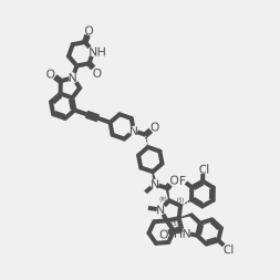 CN1[C@@H](C(=O)N(C)[C@H]2CC[C@H](C(=O)N3CCC(C#Cc4cccc5c4CN(C4CCC(=O)NC4=O)C5=O)CC3)CC2)[C@H](c2cccc(Cl)c2F)[C@@]2(Cc3ccc(Cl)cc3NC2=O)C12CCCCC2